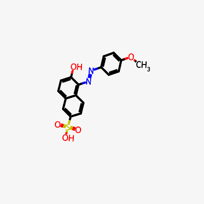 COc1ccc(N=Nc2c(O)ccc3cc(S(=O)(=O)O)ccc23)cc1